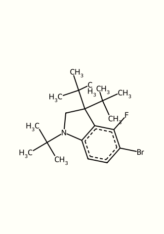 CC(C)(C)N1CC(C(C)(C)C)(C(C)(C)C)c2c1ccc(Br)c2F